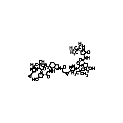 CC(C)(C)[C@H]1C[C@@H](NC(=O)[C@@H]2C[C@@H](O)CN2C(=O)[C@@H](n2cc(C3CC3CC(=O)N3CC4CCCC(NCC(=O)[C@@H]5C[C@@H](O)CN5C(=O)[C@@H](n5cc(C6CC6)nn5)C(C)(C)C)C4C3)nn2)C(C)(C)C)C(=O)N1